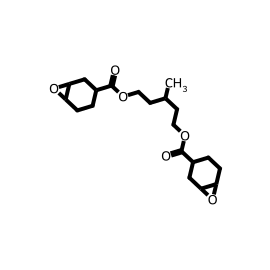 CC(CCOC(=O)C1CCC2OC2C1)CCOC(=O)C1CCC2OC2C1